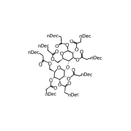 CCCCCCCCCCCC(=O)OC[C@H]1O[C@H](O[C@H]2[C@H](OC(=O)CCCCCCCCCCC)[C@@H](OC(=O)CCCCCCCCCCC)[C@H](OC(=O)CCCCCCCCCCC)O[C@@H]2COC(=O)CCCCCCCCCCC)[C@H](OC(=O)CCCCCCCCCCC)[C@@H](OC(=O)CCCCCCCCCCC)[C@@H]1OC(=O)CCCCCCCCCCC